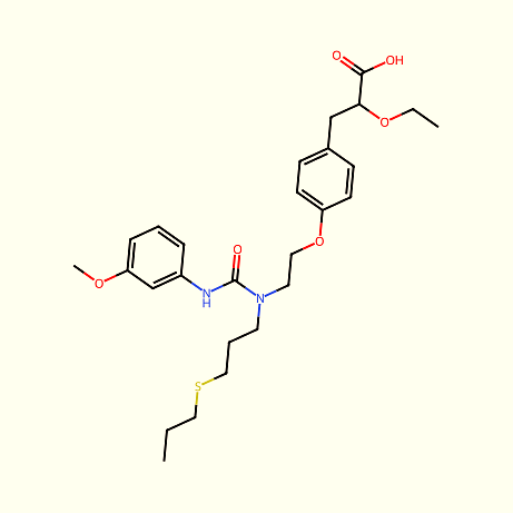 CCCSCCCN(CCOc1ccc(CC(OCC)C(=O)O)cc1)C(=O)Nc1cccc(OC)c1